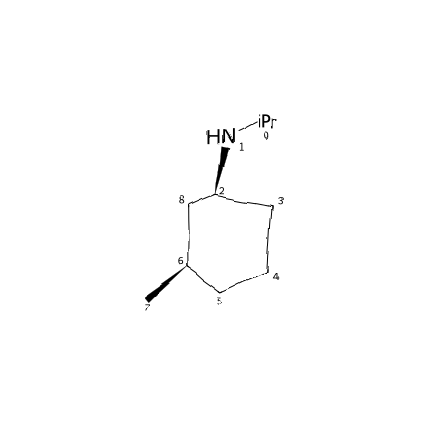 CC(C)N[C@H]1CCC[C@@H](C)C1